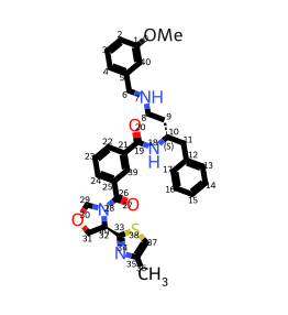 COc1cccc(CNCC[C@H](Cc2ccccc2)NC(=O)c2cccc(C(=O)N3COC[C@@H]3c3nc(C)cs3)c2)c1